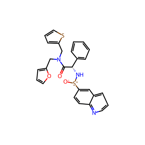 O=C([C@@H](N[S+]([O-])c1ccc2ncccc2c1)c1ccccc1)N(Cc1ccco1)Cc1cccs1